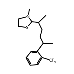 CC(CCC(C)C1SCCN1C)c1ccccc1C(F)(F)F